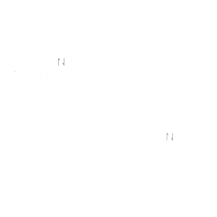 CC(C)(C)c1cccc2nc(-c3ccc(-c4ccccc4-c4ccccc4-c4ccc(-n5c6ccccc6c6ccccc65)cc4)cc3)oc12